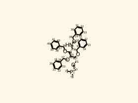 IP(I)SOC[C@@H](OCc1ccccc1)[C@@H](OCc1ccccc1)[C@@H](CNOCc1ccccc1)OCc1ccccc1